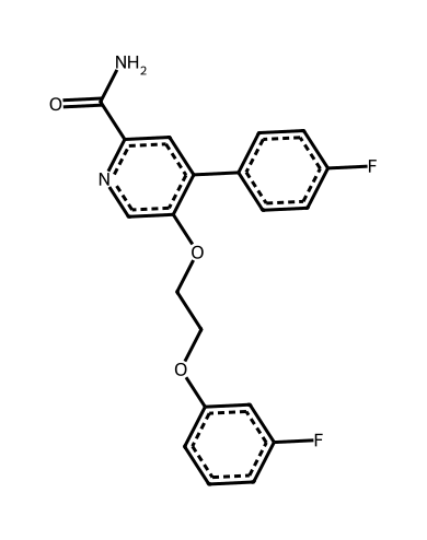 NC(=O)c1cc(-c2ccc(F)cc2)c(OCCOc2cccc(F)c2)cn1